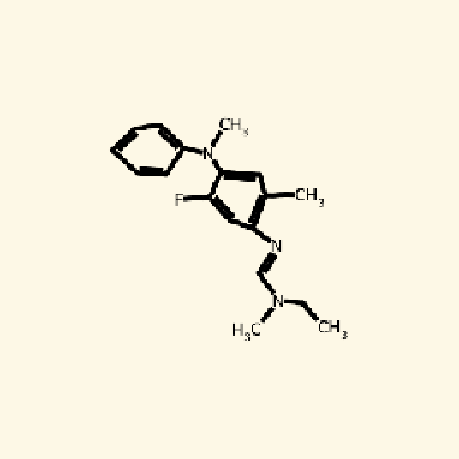 CCN(C)C=Nc1cc(F)c(N(C)c2ccccc2)cc1C